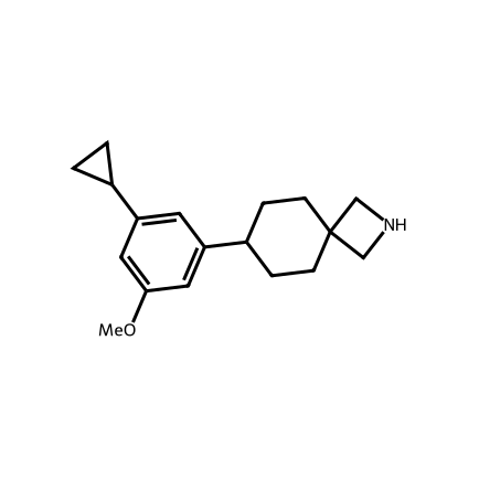 COc1cc(C2CC2)cc(C2CCC3(CC2)CNC3)c1